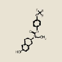 CCN(C(=O)Oc1ccc(OC(F)(F)F)cc1)C1CCc2cc(O)ccc2C1